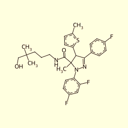 Cc1ccc(C2C(c3ccc(F)cc3)=NN(c3ccc(F)cc3F)C2(C)C(=O)NCCCC(C)(C)CO)s1